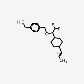 C/C=C/C1CCC(C(OCc2ccc(CC)cc2)C(F)F)CC1